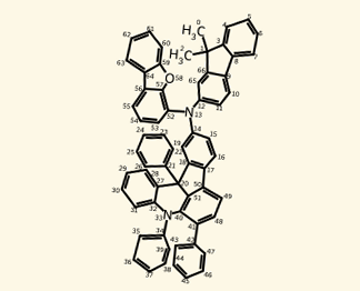 CC1(C)c2ccccc2-c2ccc(N(c3ccc4c(c3)C3(c5ccccc5)c5ccccc5N(c5ccccc5)c5c(-c6ccccc6)ccc-4c53)c3cccc4c3oc3ccccc34)cc21